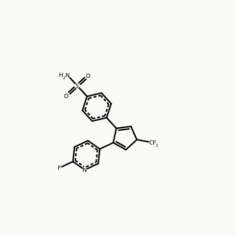 NS(=O)(=O)c1ccc(C2=CC(C(F)(F)F)C=C2c2ccc(F)nc2)cc1